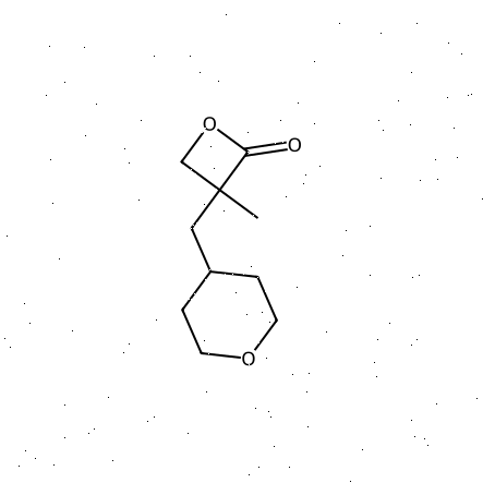 CC1(CC2CCOCC2)COC1=O